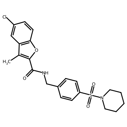 Cc1c(C(=O)NCc2ccc(S(=O)(=O)N3CCCCC3)cc2)oc2ccc(Cl)cc12